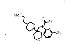 CCC(=O)N(CC1(N2CCN(CCOC)CC2)CCOCC1)c1cccc(C(F)(F)F)n1